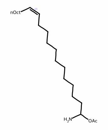 CCCCCCCC/C=C\CCCCCCCCCCC(N)OC(C)=O